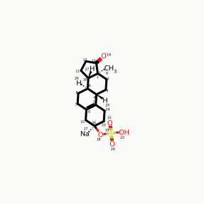 C[C@]12CC[C@@H]3C4=C(CC[C@H]3[C@@H]1CCC2=O)C[C@]([Na])(OS(=O)(=O)O)CC4